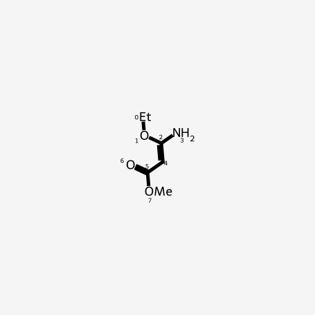 CCO/C(N)=C\C(=O)OC